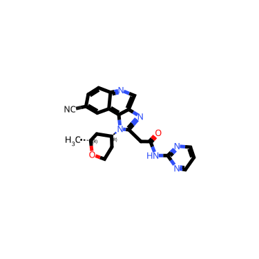 C[C@@H]1C[C@H](n2c(CC(=O)Nc3ncccn3)nc3cnc4ccc(C#N)cc4c32)CCO1